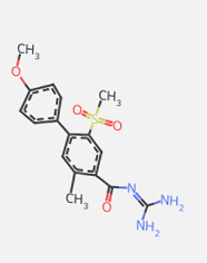 COc1ccc(-c2cc(C)c(C(=O)N=C(N)N)cc2S(C)(=O)=O)cc1